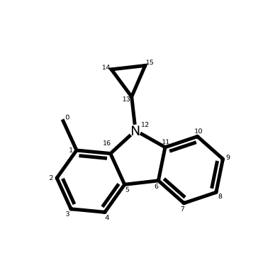 Cc1cccc2c3ccccc3n(C3CC3)c12